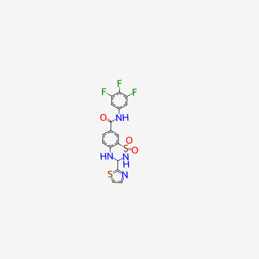 O=C(Nc1cc(F)c(F)c(F)c1)c1ccc2c(c1)S(=O)(=O)NC(c1nccs1)N2